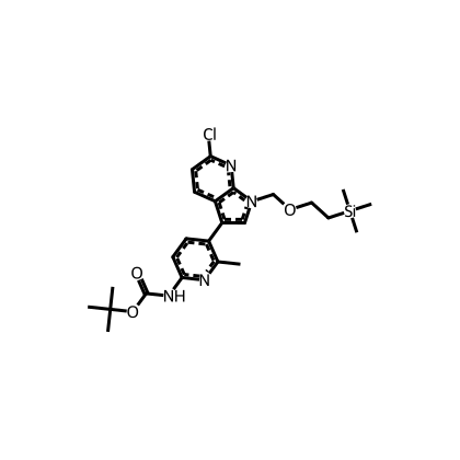 Cc1nc(NC(=O)OC(C)(C)C)ccc1-c1cn(COCC[Si](C)(C)C)c2nc(Cl)ccc12